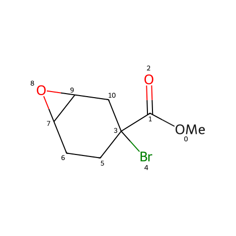 COC(=O)C1(Br)CCC2OC2C1